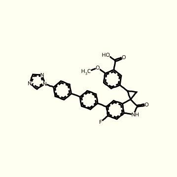 COc1ccc(C2CC23C(=O)Nc2cc(F)c(-c4ccc(-c5ccc(-n6cncn6)cc5)cc4)cc23)cc1C(=O)O